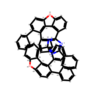 c1ccc(-c2nc(-c3cccc4oc5ccc(-c6ccccc6)c(-c6ccccc6)c5c34)nc(-c3cccc4oc5ccc(-c6ccccc6)c(-c6ccccc6)c5c34)n2)cc1